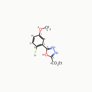 CCOC(=O)c1nnc(-c2cc(OC(F)(F)F)ccc2F)o1